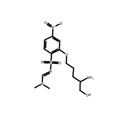 CN(C)C=NS(=O)(=O)c1ccc([N+](=O)[O-])cc1OCCCC(N)CO